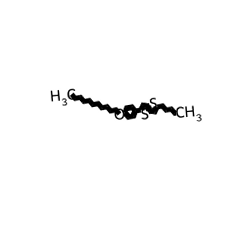 CCCCCCCCCCCOc1ccc(-c2cc3sc(CCCCC)cc3s2)cc1